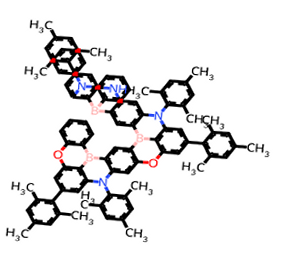 Cc1cc(C)c(-c2cc3c4c(c2)N(c2ccccc2)c2ccccc2B4c2cc4c(cc2N3)N(c2c(C)cc(C)cc2C)c2cc(-c3c(C)cc(C)cc3C)cc3c2B4c2cc4c(cc2O3)N(c2c(C)cc(C)cc2C)c2cc(-c3c(C)cc(C)cc3C)cc3c2B4c2ccccc2O3)c(C)c1